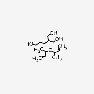 C=CC(C)OC(C)C=C.OCCCC(CO)CO